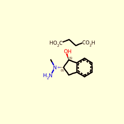 CN(N)[C@H]1Cc2ccccc2[C@@H]1O.O=C(O)CCC(=O)O